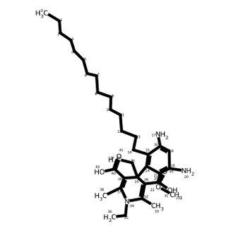 CCCCCCCCCCCCCCCc1c(N)cc(N)c(OC)c1C1(CC)C(C(=O)O)=C(C)N(CC)C(C)=C1C(=O)O